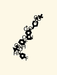 COc1cc2c(Oc3ccc(NC(=O)C4(C(=O)Nc5ccc(F)cc5)CC4)cc3F)ccnc2cc1OCC1CCN(C(=O)OC(C)(C)C)CC1